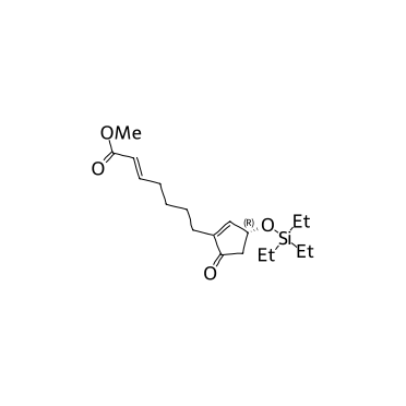 CC[Si](CC)(CC)O[C@H]1C=C(CCCCC=CC(=O)OC)C(=O)C1